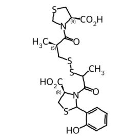 CC(SSC[C@@H](C)C(=O)N1CSC[C@H]1C(=O)O)C(=O)N1C(c2ccccc2O)SC[C@H]1C(=O)O